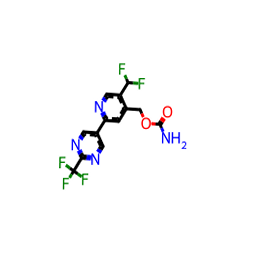 NC(=O)OCc1cc(-c2cnc(C(F)(F)F)nc2)ncc1C(F)F